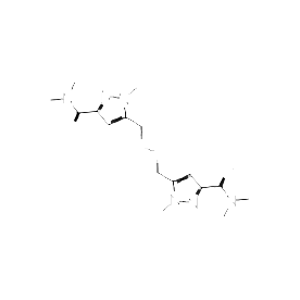 CN(C)C(=O)c1cc(CSSCc2cc(C(=O)N(C)C)nn2C)n(C)n1